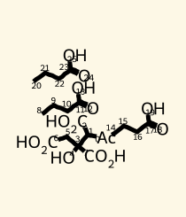 CC(=O)C(C(=O)O)C(O)(CC(=O)O)C(=O)O.CCCC(=O)O.CCCC(=O)O.CCCC(=O)O